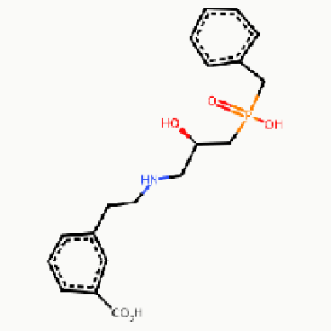 O=C(O)c1cccc(CCNC[C@@H](O)CP(=O)(O)Cc2ccccc2)c1